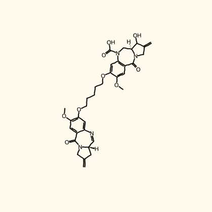 C=C1C[C@H]2C=Nc3cc(OCCCCCOc4cc5c(cc4OC)C(=O)N4CC(=C)C(O)[C@@H]4CN5C(=O)O)c(OC)cc3C(=O)N2C1